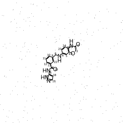 O=C1COc2cc(NCc3cccc(C(=O)Nc4ccn[nH]4)c3)ccc2N1